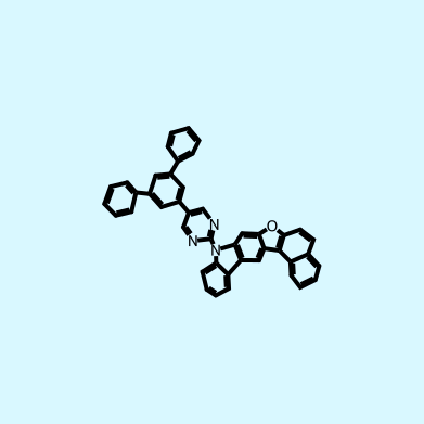 c1ccc(-c2cc(-c3ccccc3)cc(-c3cnc(-n4c5ccccc5c5cc6c(cc54)oc4ccc5ccccc5c46)nc3)c2)cc1